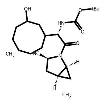 CC(C)(C)OC(=O)N[C@@H]([C]1CCCCCC(O)C1)C(=O)N1[C@H](C#N)C[C@@H]2C[C@@H]21.[CH2].[CH2]